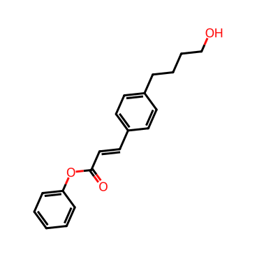 O=C(C=Cc1ccc(CCCCO)cc1)Oc1ccccc1